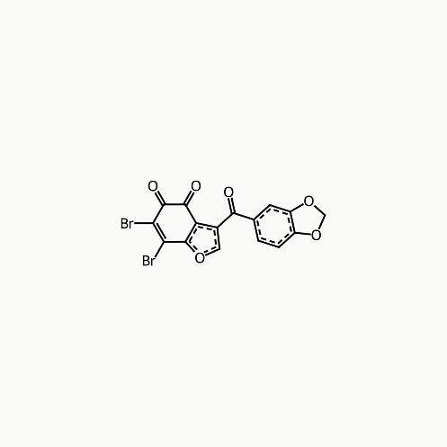 O=C1C(=O)c2c(C(=O)c3ccc4c(c3)OCO4)coc2C(Br)=C1Br